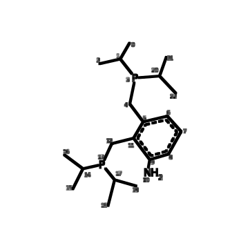 CC(C)P(Cc1cccc(N)c1CP(C(C)C)C(C)C)C(C)C